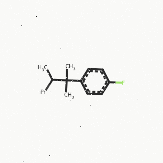 CC(C)C(C)C(C)(C)c1ccc(F)cc1